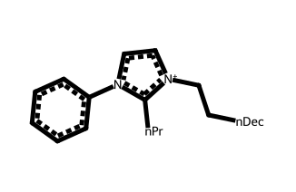 CCCCCCCCCCCC[n+]1ccn(-c2ccccc2)c1CCC